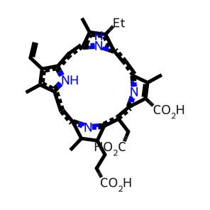 C=Cc1c(C)c2cc3nc(c(CC(=O)O)c4nc(cc5[nH]c(cc1[nH]2)c(C)c5CC)C(C)=C4C(=O)O)C(CCC(=O)O)C3C